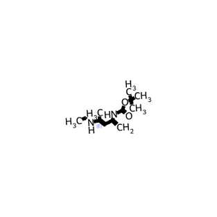 C=C(/C=C(\C)NCC)NC(=O)OC(C)(C)C